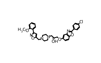 COc1ccccc1-c1cc(CN2CCN(C[C@@H](O)COc3ccc4oc(-c5ccc(Cl)cc5)nc4c3)CC2)on1